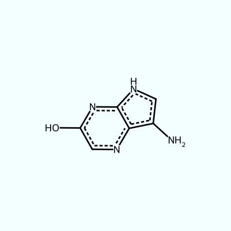 Nc1c[nH]c2nc(O)cnc12